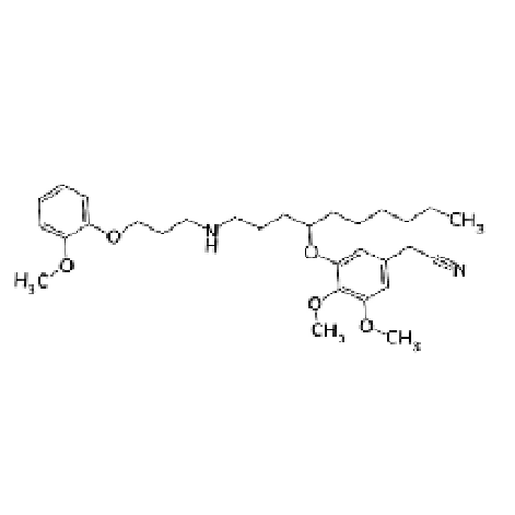 CCCCCCC(CCCNCCCOc1ccccc1OC)Oc1cc(CC#N)cc(OC)c1OC